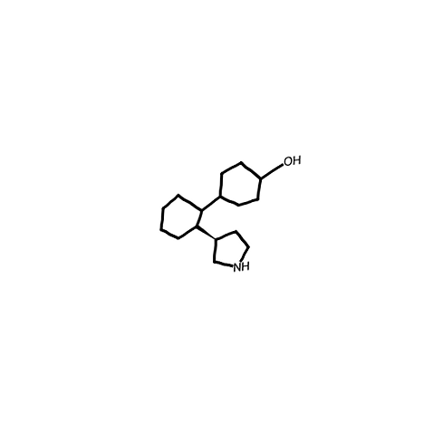 OC1CCC(C2CCCCC2[C@H]2CCNC2)CC1